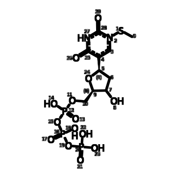 CSn1cc([C@H]2CC(O)[C@@H](COP(=O)(O)OP(=O)(O)OP(=O)(O)O)O2)c(=O)[nH]c1=O